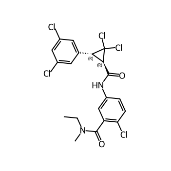 CCN(C)C(=O)c1cc(NC(=O)[C@H]2[C@H](c3cc(Cl)cc(Cl)c3)C2(Cl)Cl)ccc1Cl